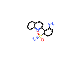 Nc1cccc(S(N)(=O)=O)c1-c1ccc2ccccc2n1